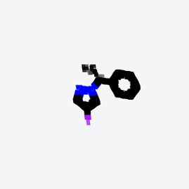 C[C@H](c1ccccc1)n1cc(I)cn1